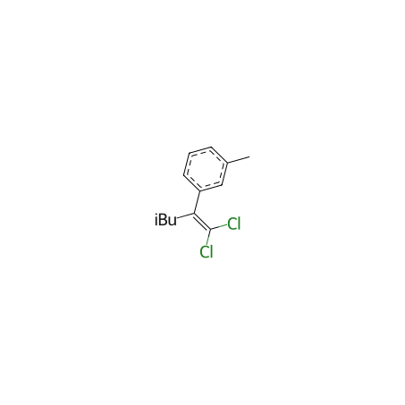 CCC(C)C(=C(Cl)Cl)c1cccc(C)c1